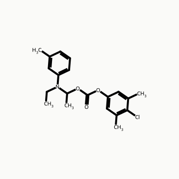 CCN(c1cccc(C)c1)C(C)OC(=O)Oc1cc(C)c(Cl)c(C)c1